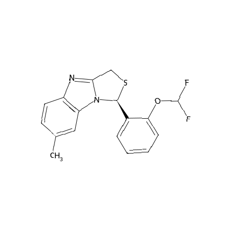 Cc1ccc2nc3n(c2c1)[C@H](c1ccccc1OC(F)F)SC3